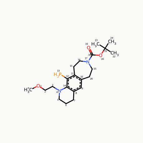 COCCN1CCCc2cc3c(c(P)c21)CCN(C(=O)OC(C)(C)C)CC3